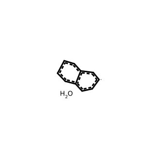 O.[c]1ccc2ccccc2c1